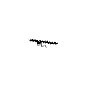 CCCCCCCCCCCCCCOC(CCCCCCC)S(=O)(=O)O.N